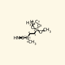 CO[Si](CCB(C)B=N)(OC)OC